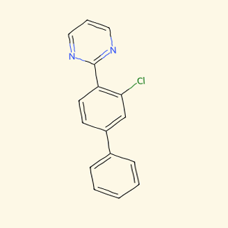 Clc1cc(-c2ccccc2)ccc1-c1ncccn1